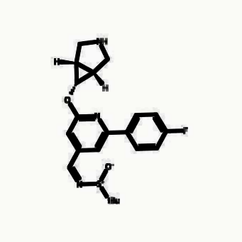 CC(C)(C)[S+]([O-])/N=C\c1cc(O[C@@H]2[C@@H]3CNC[C@@H]32)nc(-c2ccc(F)cc2)c1